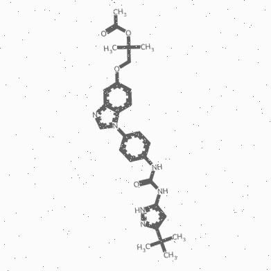 CC(=O)OC(C)(C)COc1ccc2c(c1)ncn2-c1ccc(NC(=O)Nc2cc(C(C)(C)C)n[nH]2)cc1